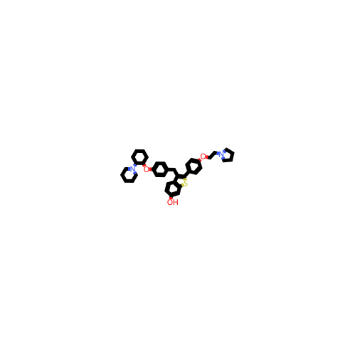 Oc1ccc2c(Cc3ccc(OC4CCCCC4N4CCCCC4)cc3)c(-c3ccc(OCCN4CCCC4)cc3)sc2c1